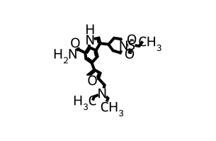 CCN(CC)Cc1cc(-c2cc(C(N)=O)c3[nH]cc(C4CCN(S(=O)(=O)CC)CC4)c3c2)co1